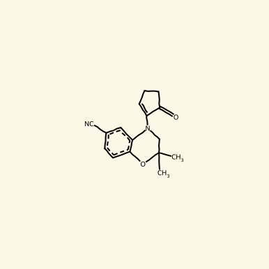 CC1(C)CN(C2=CCCC2=O)c2cc(C#N)ccc2O1